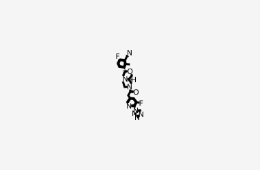 Cc1c([C@H]2CN3CCN(C(=O)Cc4cnc(-n5cnnn5)c(F)c4)C[C@@H]3CO2)ccc(F)c1C#N